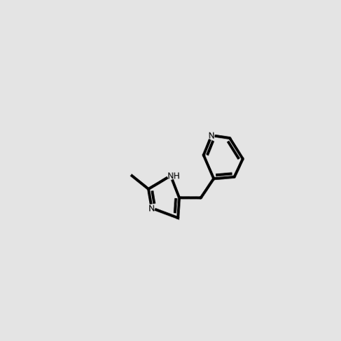 Cc1ncc(Cc2cccnc2)[nH]1